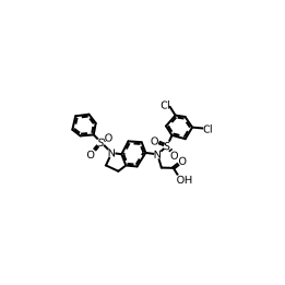 O=C(O)CN(c1ccc2c(c1)CCN2S(=O)(=O)c1ccccc1)S(=O)(=O)c1cc(Cl)cc(Cl)c1